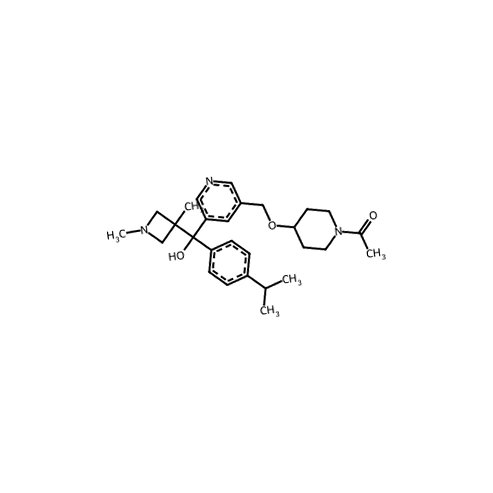 CC(=O)N1CCC(OCc2cncc(C(O)(c3ccc(C(C)C)cc3)C3(C)CN(C)C3)c2)CC1